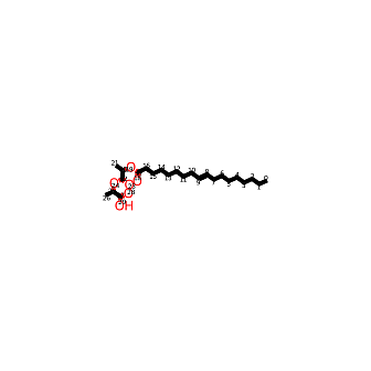 CCCCCCCCC=CCCCCCCCC(=O)OC(C)C(=O)OC(C)C(=O)O